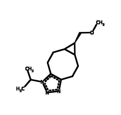 COC[C@H]1C2CCc3nnn(C(C)C)c3CCC21